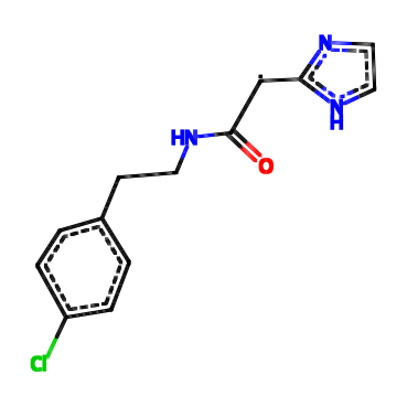 O=C([CH]c1ncc[nH]1)NCCc1ccc(Cl)cc1